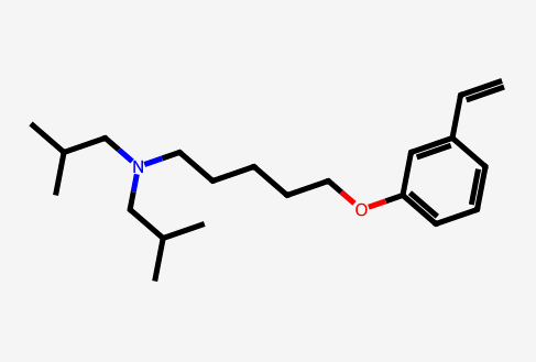 C=Cc1cccc(OCCCCCN(CC(C)C)CC(C)C)c1